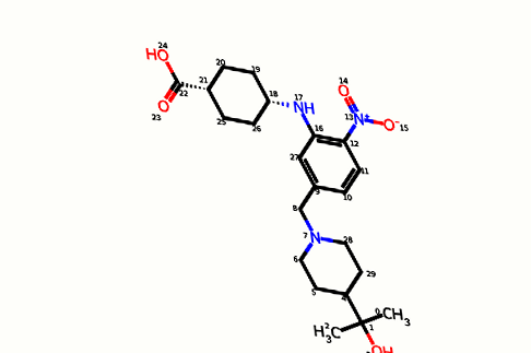 CC(C)(O)C1CCN(Cc2ccc([N+](=O)[O-])c(N[C@H]3CC[C@@H](C(=O)O)CC3)c2)CC1